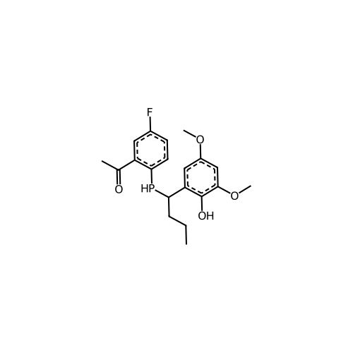 CCCC(Pc1ccc(F)cc1C(C)=O)c1cc(OC)cc(OC)c1O